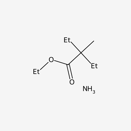 CCOC(=O)C(C)(CC)CC.N